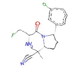 CC(C)(C#N)[C@H]1CC[C@@H](c2cccc(Cl)c2)N1C(=O)[C@H](N)CF